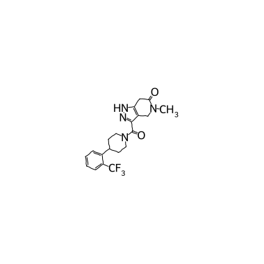 CN1Cc2c(C(=O)N3CCC(c4ccccc4C(F)(F)F)CC3)n[nH]c2CC1=O